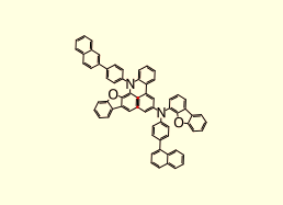 c1cc(-c2ccccc2N(c2ccc(-c3ccc4ccccc4c3)cc2)c2cccc3c2oc2ccccc23)cc(N(c2ccc(-c3cccc4ccccc34)cc2)c2cccc3c2oc2ccccc23)c1